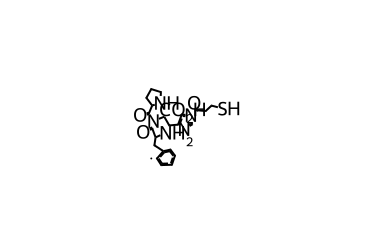 NC(Cc1[c]cccc1)C(=O)N(C(=O)C1CCCN1)C(Cc1cn(C(=O)CCS)cn1)C(=O)O